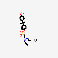 C#CCN(CCS(=O)(=O)O)CCS(=O)(=O)Oc1ccc(C(C)(C)c2ccc(O)cc2)cc1